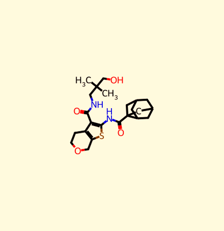 CC(C)(CO)CNC(=O)c1c(NC(=O)C23CC4CC(CC2C4)C3)sc2c1CCOC2